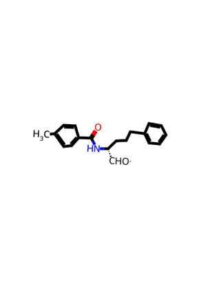 Cc1ccc(C(=O)N[C@@H]([C]=O)CCCc2ccccc2)cc1